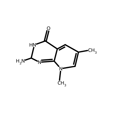 CC1=CN(C)C2=NC(N)NC(=O)C2=C1